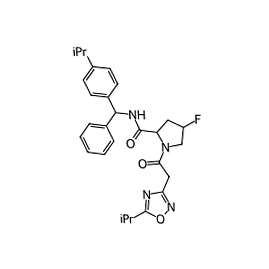 CC(C)c1ccc(C(NC(=O)C2CC(F)CN2C(=O)Cc2noc(C(C)C)n2)c2ccccc2)cc1